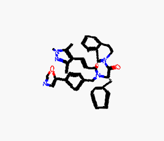 Cc1nn(C)c(C)c1C=CC(=O)N(Cc1ccc(-c2cnco2)cc1)[C@@H](Cc1ccccc1)C(=O)N1CCc2ccccc2C1